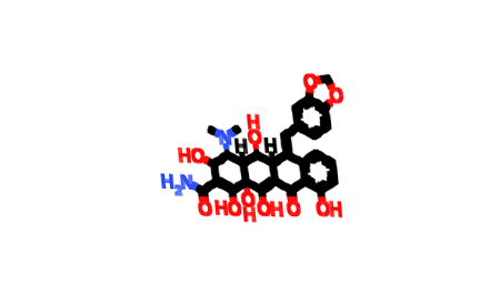 CN(C)[C@@H]1C(O)C(C(N)=O)=C(O)[C@@]2(O)C(O)=C3C(=O)c4c(O)cccc4/C(=C\c4ccc5c(c4)OCO5)[C@H]3[C@H](O)[C@@H]12